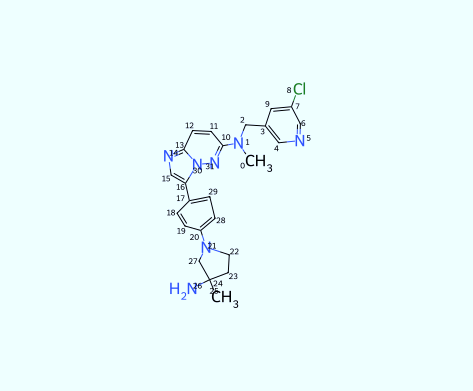 CN(Cc1cncc(Cl)c1)c1ccc2ncc(-c3ccc(N4CCC(C)(N)C4)cc3)n2n1